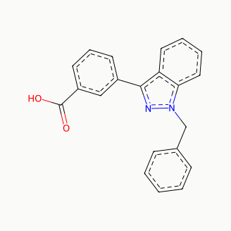 O=C(O)c1cccc(-c2nn(Cc3ccccc3)c3ccccc23)c1